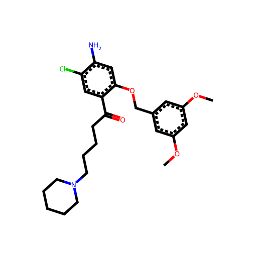 COc1cc(COc2cc(N)c(Cl)cc2C(=O)CCCCN2CCCCC2)cc(OC)c1